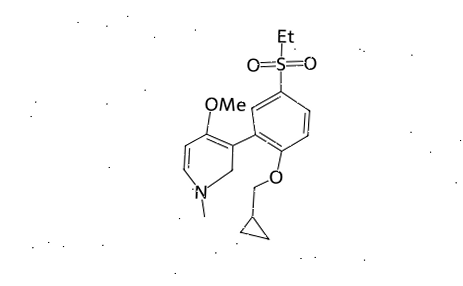 CCS(=O)(=O)c1ccc(OCC2CC2)c(C2=C(OC)C=CN(C)C2)c1